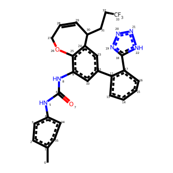 Cc1ccc(NC(=O)Nc2cc(-c3ccccc3-c3nnn[nH]3)cc3c2OCC=CC3CCC(F)(F)F)cc1